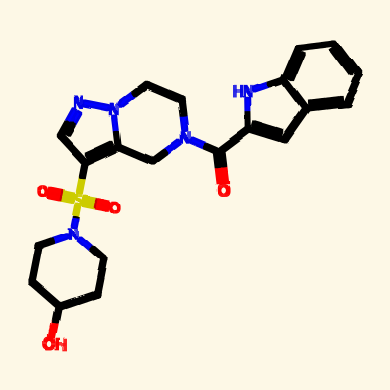 O=C(c1cc2ccccc2[nH]1)N1CCn2ncc(S(=O)(=O)N3CCC(O)CC3)c2C1